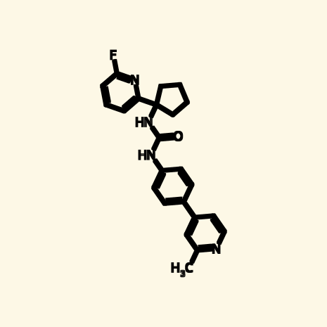 Cc1cc(-c2ccc(NC(=O)NC3(c4cccc(F)n4)CCCC3)cc2)ccn1